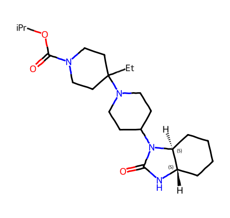 CCC1(N2CCC(N3C(=O)N[C@H]4CCCC[C@@H]43)CC2)CCN(C(=O)OC(C)C)CC1